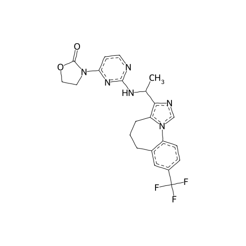 CC(Nc1nccc(N2CCOC2=O)n1)c1ncn2c1CCCc1cc(C(F)(F)F)ccc1-2